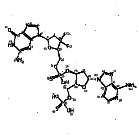 Nc1nc2c(ncn2C2CC(F)(F)[C@@H](COP(O)(=S)O[C@H]3C[C@H](n4cnc5c(N)ncnc54)OC3COP(O)(O)=S)O2)c(=O)[nH]1